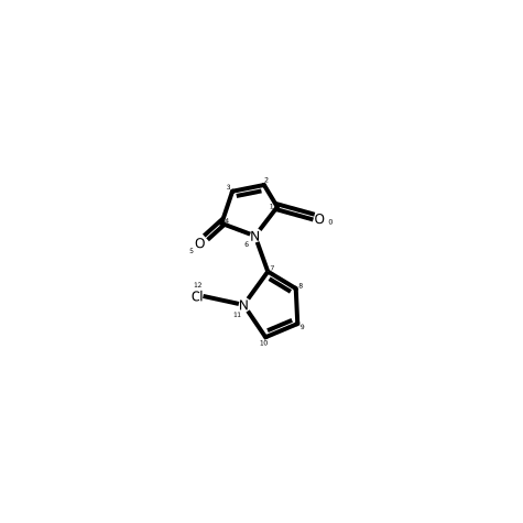 O=C1C=CC(=O)N1c1cccn1Cl